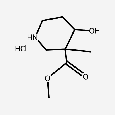 COC(=O)C1(C)CNCCC1O.Cl